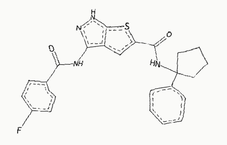 O=C(Nc1n[nH]c2sc(C(=O)NC3(c4ccccc4)CCCC3)cc12)c1ccc(F)cc1